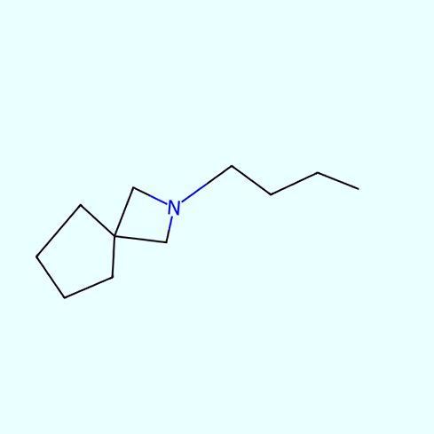 CCCCN1CC2(CCCC2)C1